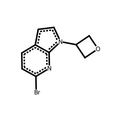 Brc1ccc2ccn(C3COC3)c2n1